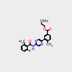 COCCOC(=O)c1ccc(C)c(-c2cnc(NC(=O)c3c(C)cccc3F)cn2)c1